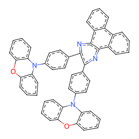 c1ccc2c(c1)Oc1ccccc1N2c1ccc(-c2nc3c4ccccc4c4ccccc4c3nc2-c2ccc(N3c4ccccc4Oc4ccccc43)cc2)cc1